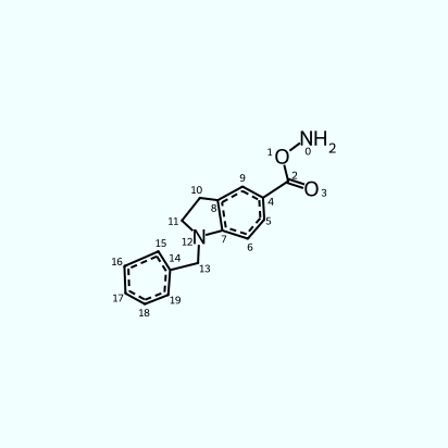 NOC(=O)c1ccc2c(c1)CCN2Cc1ccccc1